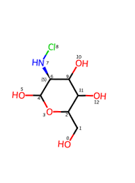 OCC1OC(O)[C@@H](NCl)C(O)C1O